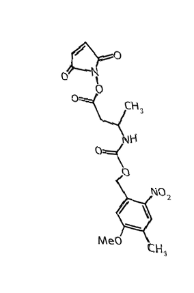 COc1cc(COC(=O)NC(C)CC(=O)ON2C(=O)C=CC2=O)c([N+](=O)[O-])cc1C